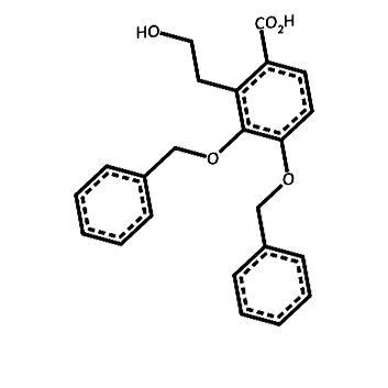 O=C(O)c1ccc(OCc2ccccc2)c(OCc2ccccc2)c1CCO